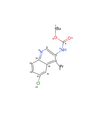 CC(C)c1c(NC(=O)OC(C)(C)C)cnc2ccc(Cl)cc12